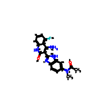 CC(=O)N(C)c1ccc2nc(-c3c(N)c4c(F)cccc4[nH]c3=O)[nH]c2c1